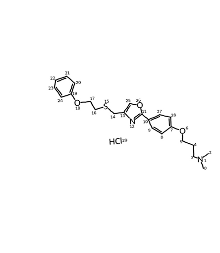 CN(C)CCCOc1ccc(-c2nc(CSCCOc3ccccc3)co2)cc1.Cl